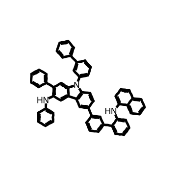 c1ccc(Nc2cc3c4cc(-c5cccc(-c6ccccc6Nc6cccc7ccccc67)c5)ccc4n(-c4cccc(-c5ccccc5)c4)c3cc2-c2ccccc2)cc1